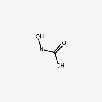 O=C(O)[N]O